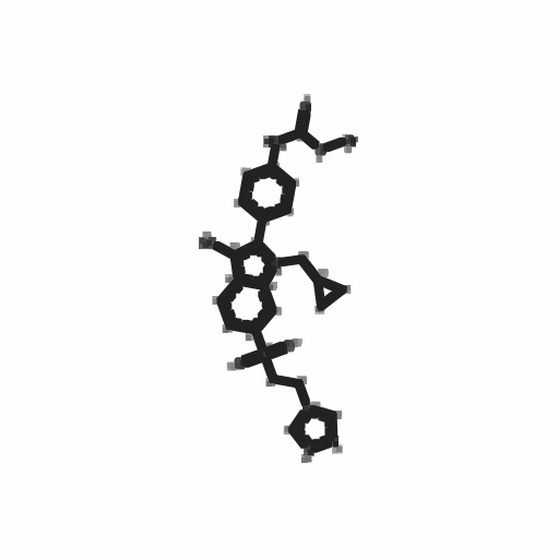 CC(C)OC(=O)Nc1ccc(-c2c(C#N)c3ccc(S(=O)(=O)CCn4cnnc4)cc3n2CC2CC2)cc1